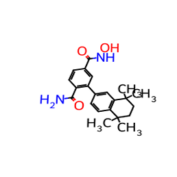 CC1(C)CCC(C)(C)c2cc(-c3cc(C(=O)NO)ccc3C(N)=O)ccc21